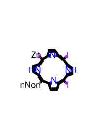 CCCCCCCCCc1c2nc(c(I)c3ccc([nH]3)c(I)c3nc(c(I)c4ccc1[nH]4)C=C3)C=C2.[Zn]